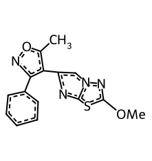 COc1nn2cc(-c3c(-c4ccccc4)noc3C)nc2s1